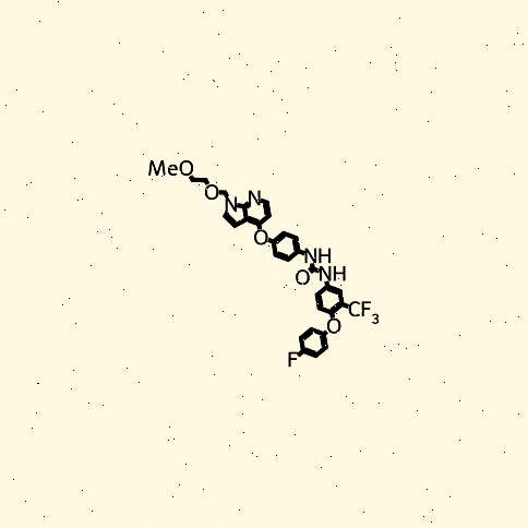 COCCOCn1ccc2c(Oc3ccc(NC(=O)Nc4ccc(Oc5ccc(F)cc5)c(C(F)(F)F)c4)cc3)ccnc21